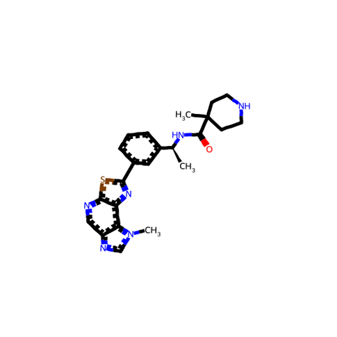 C[C@H](NC(=O)C1(C)CCNCC1)c1cccc(-c2nc3c(ncc4ncn(C)c43)s2)c1